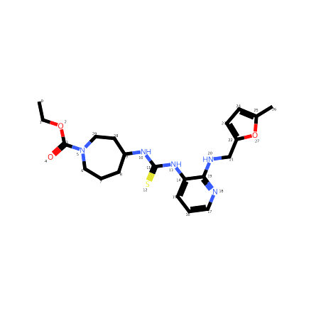 CCOC(=O)N1CCCC(NC(=S)Nc2cccnc2NCc2ccc(C)o2)CC1